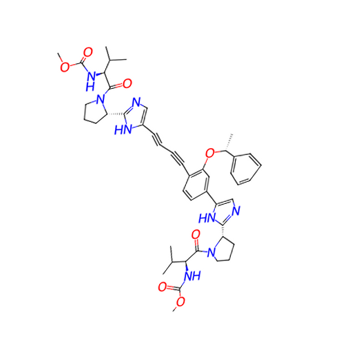 COC(=O)N[C@H](C(=O)N1CCC[C@H]1c1ncc(C#CC#Cc2ccc(-c3cnc([C@@H]4CCCN4C(=O)[C@@H](NC(=O)OC)C(C)C)[nH]3)cc2O[C@H](C)c2ccccc2)[nH]1)C(C)C